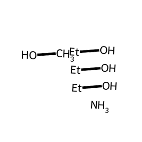 CCO.CCO.CCO.CO.N